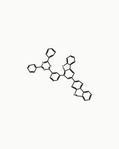 c1ccc(-c2nc(-c3ccccc3)nc(-c3cccc(-c4cc(-c5ccc6c(c5)ncc5ccccc56)cc5c4sc4ccccc45)c3)n2)cc1